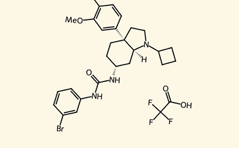 COc1ccc([C@@]23CC[C@@H](NC(=O)Nc4cccc(Br)c4)C[C@@H]2N(C2CCC2)CC3)cc1OC.O=C(O)C(F)(F)F